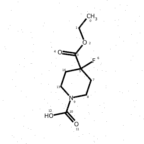 CCOC(=O)C1(F)CCN(C(=O)O)CC1